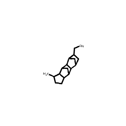 CC1CCC2C3CC(C12)C1C2CC(CC2CO)C31